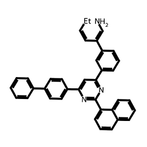 CC/C=C\C(=C/N)c1cccc(-c2cc(-c3ccc(-c4ccccc4)cc3)nc(-c3cccc4ccccc34)n2)c1